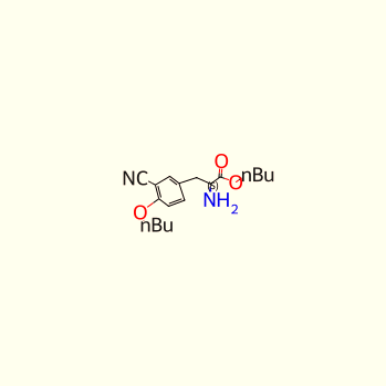 CCCCOC(=O)[C@@H](N)Cc1ccc(OCCCC)c(C#N)c1